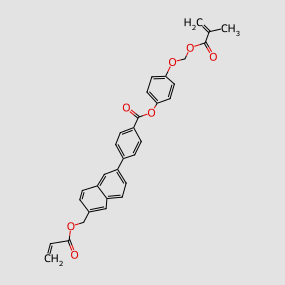 C=CC(=O)OCc1ccc2cc(-c3ccc(C(=O)Oc4ccc(OCOC(=O)C(=C)C)cc4)cc3)ccc2c1